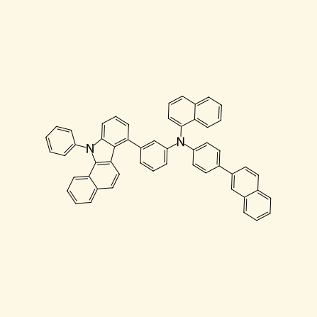 c1ccc(-n2c3cccc(-c4cccc(N(c5ccc(-c6ccc7ccccc7c6)cc5)c5cccc6ccccc56)c4)c3c3ccc4ccccc4c32)cc1